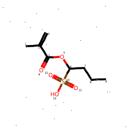 C=C(C)C(=O)OC(CCC)S(=O)(=O)O